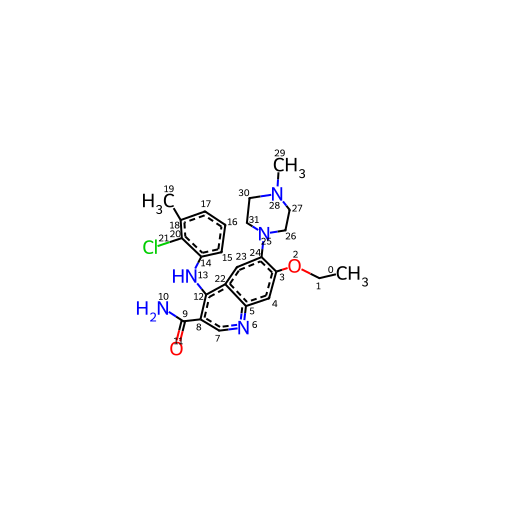 CCOc1cc2ncc(C(N)=O)c(Nc3cccc(C)c3Cl)c2cc1N1CCN(C)CC1